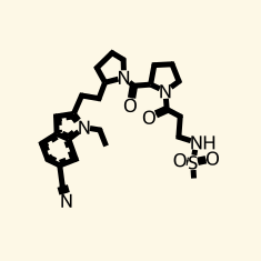 CCn1c(CCC2CCCN2C(=O)C2CCCN2C(=O)CCNS(C)(=O)=O)cc2ccc(C#N)cc21